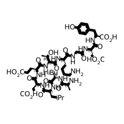 CC[C@H](C)[C@H](NC(=O)[C@H](C)N)C(=O)N[C@@H](CC(C)C)C(=O)N[C@@H](CC(=O)O)C(=O)N[C@@H](CCC(=O)O)C(=O)N[C@H](C(=O)N[C@@H](CCCCN)C(=O)NCC(=O)N[C@@H](CC(=O)O)C(=O)N[C@@H](Cc1ccc(O)cc1)C(=O)O)[C@@H](C)O